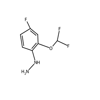 NNc1ccc(F)cc1OC(F)F